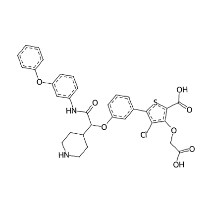 O=C(O)COc1c(C(=O)O)sc(-c2cccc(OC(C(=O)Nc3cccc(Oc4ccccc4)c3)C3CCNCC3)c2)c1Cl